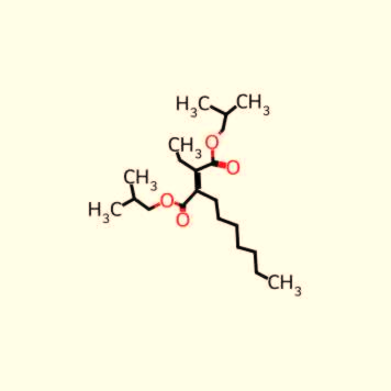 CCCCCCCC(C(=O)OCC(C)C)=C(CC)C(=O)OCC(C)C